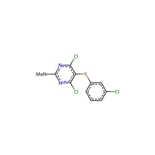 CNc1nc(Cl)c(Sc2cccc(Cl)c2)c(Cl)n1